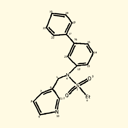 CCS(=O)(=O)N(Cc1cccnc1)c1cccc(-c2ccccc2)c1